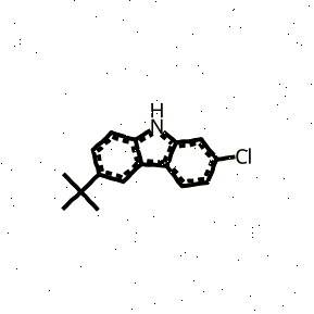 CC(C)(C)c1ccc2[nH]c3cc(Cl)ccc3c2c1